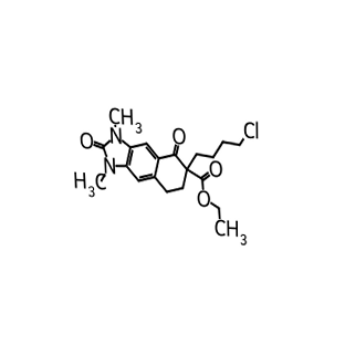 CCOC(=O)C1(CCCCCl)CCc2cc3c(cc2C1=O)n(C)c(=O)n3C